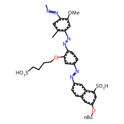 CCCCOc1cc(S(=O)(=O)O)c2cc(N=Nc3ccc(N=Nc4cc(OC)c(N=NC)cc4C)c(OCCCCS(=O)(=O)O)c3)ccc2c1